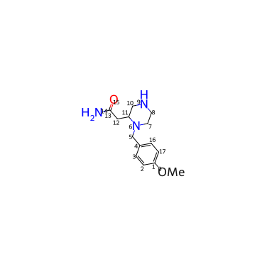 COc1ccc(CN2CCNCC2CC(N)=O)cc1